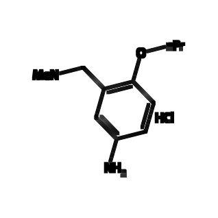 CCCOc1ccc(N)cc1CNC.Cl